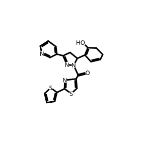 O=C(c1csc(-c2cccs2)n1)N1N=C(c2cccnc2)CC1C1=C(O)CCC=C1